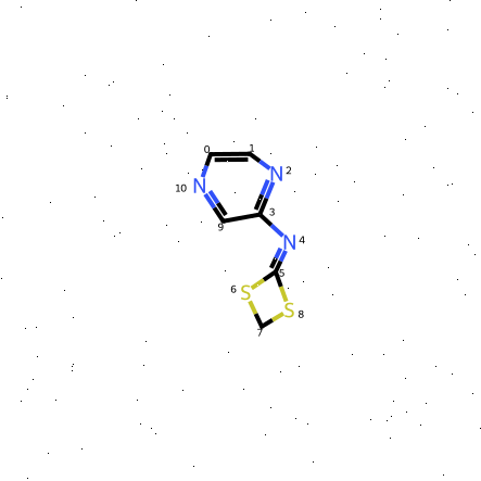 c1cnc(N=C2SCS2)cn1